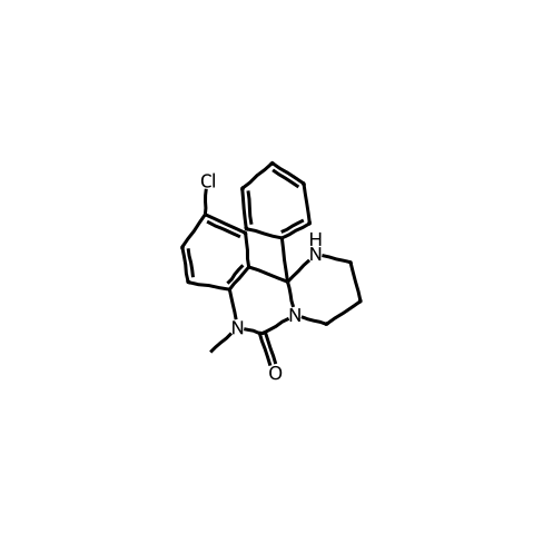 CN1C(=O)N2CCCNC2(c2ccccc2)c2cc(Cl)ccc21